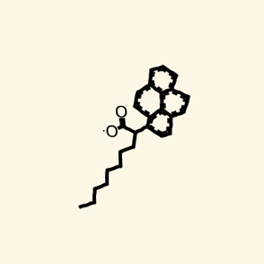 CCCCCCCCC(C([O])=O)c1ccc2ccc3cccc4ccc1c2c34